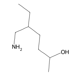 CCC(CN)CCC(C)O